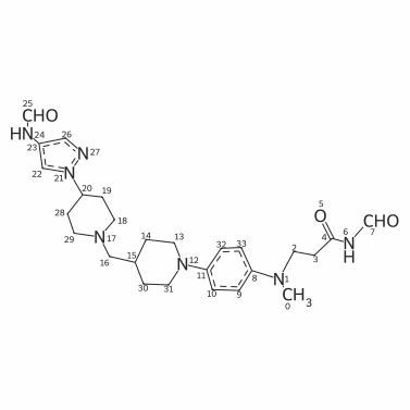 CN(CCC(=O)NC=O)c1ccc(N2CCC(CN3CCC(n4cc(NC=O)cn4)CC3)CC2)cc1